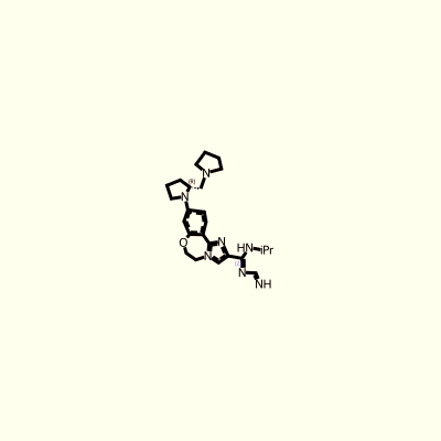 CC(C)N/C(=N\C=N)c1cn2c(n1)-c1ccc(N3CCC[C@@H]3CN3CCCC3)cc1OCC2